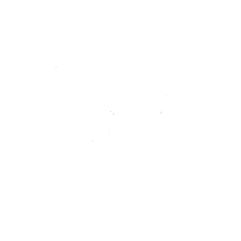 Cc1ccc2c(c1)CCC(c1ccccc1)N2c1ccc(O)cc1